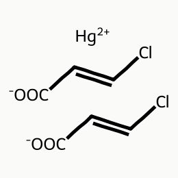 O=C([O-])/C=C/Cl.O=C([O-])/C=C/Cl.[Hg+2]